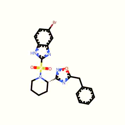 O=S(=O)(c1nc2cc(Br)ccc2[nH]1)N1CCCC[C@H]1c1noc(Cc2ccccc2)n1